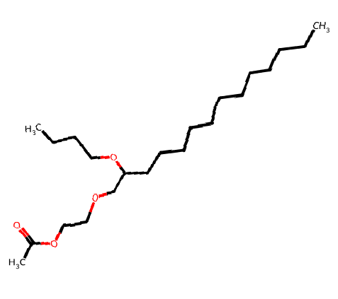 CCCCCCCCCCCCC(COCCOC(C)=O)OCCCC